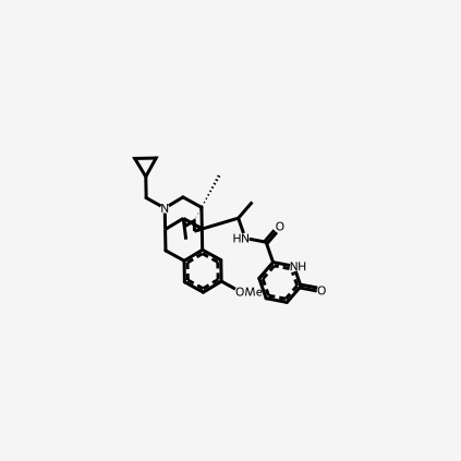 COc1ccc2c(c1)C13CCN(CC4CC4)C(C2)C1(C)C[C@H](C)C3C(C)NC(=O)c1cccc(=O)[nH]1